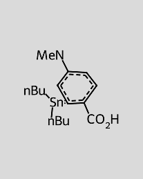 CCC[CH2][Sn][CH2]CCC.CNc1ccc(C(=O)O)cc1